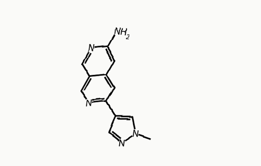 Cn1cc(-c2cc3cc(N)ncc3cn2)cn1